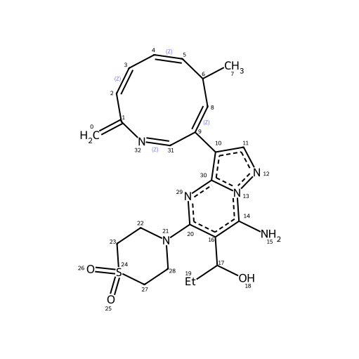 C=C1/C=C\C=C/C(C)/C=C(c2cnn3c(N)c(C(O)CC)c(N4CCS(=O)(=O)CC4)nc23)\C=N/1